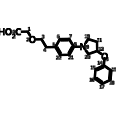 O=C(O)COCCc1ccc(N2CCC(Oc3ccccc3)C2)cc1